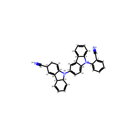 N#Cc1ccccc1-n1c2ccccc2c2cc(N3C4=CCC(C#N)C=C4C4C=CC=CC43)ccc21